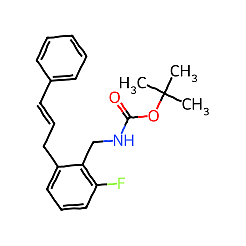 CC(C)(C)OC(=O)NCc1c(F)cccc1CC=Cc1ccccc1